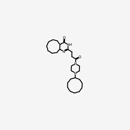 O=C1NC(CCC(=O)N2CCN(C3CCCCCCCCC3)CC2)=NC2CCCCCCCC12